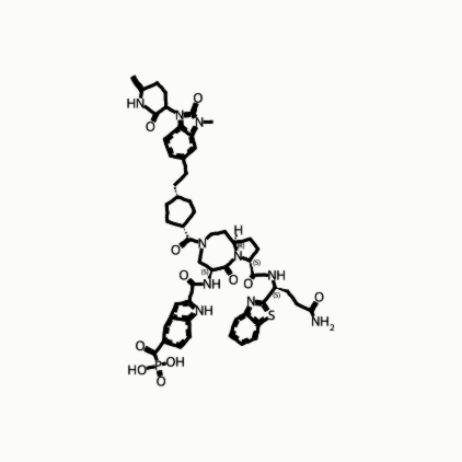 C=C1CCC(n2c(=O)n(C)c3cc(CC[C@H]4CC[C@@H](C(=O)N5CC[C@H]6CC[C@@H](C(=O)N[C@@H](CCC(N)=O)c7nc8ccccc8s7)N6C(=O)[C@@H](NC(=O)c6cc7cc(C(=O)P(=O)(O)O)ccc7[nH]6)C5)CC4)ccc32)C(=O)N1